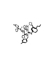 CCCc1ccc(/N=c2\[nH]c(=O)n(C[C@H](C)C(=O)OC)c(=O)n2Cc2ccc(C)cc2)cc1Cl